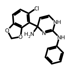 NC1(c2c(Cl)ccc3c2OCO3)C=CNC(Nc2ccccc2)=N1